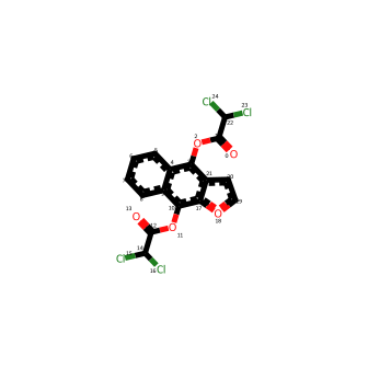 O=C(Oc1c2ccccc2c(OC(=O)C(Cl)Cl)c2occc12)C(Cl)Cl